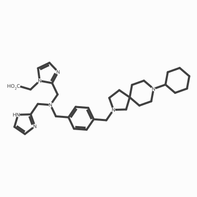 O=C(O)Cn1ccnc1CN(Cc1ccc(CN2CCC3(CCN(C4CCCCC4)CC3)C2)cc1)Cc1ncc[nH]1